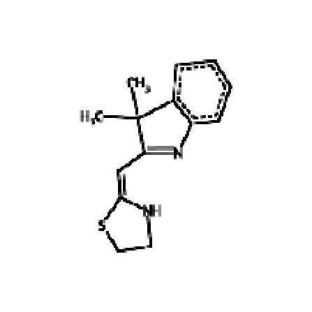 CC1(C)C(/C=C2\NCCS2)=Nc2ccccc21